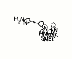 CCOC(n1nc2c(c1C(C(=O)Nc1nccs1)N1Cc3ccc(C#Cc4ccc(N)nc4)cc3C1=O)CCC2)[Si](C)(C)C